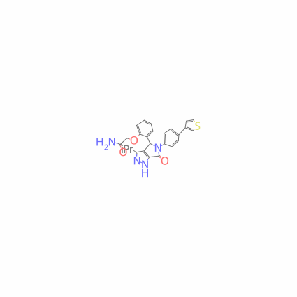 CC(C)c1n[nH]c2c1C(c1ccccc1OCC(N)=O)N(c1ccc(-c3ccsc3)cc1)C2=O